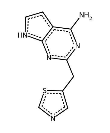 Nc1nc(Cc2cncs2)nc2[nH]ccc12